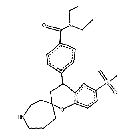 C=S(C)(=O)c1ccc2c(c1)C(c1ccc(C(=O)N(CC)CC)cc1)CC1(CCCNCC1)O2